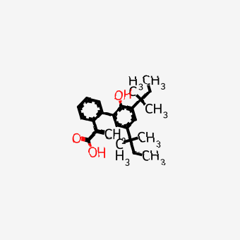 C=C(C(=O)O)c1ccccc1-c1cc(C(C)(C)CC)cc(C(C)(C)CC)c1O